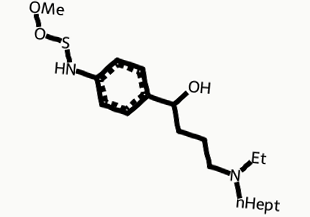 CCCCCCCN(CC)CCCC(O)c1ccc(NSOOC)cc1